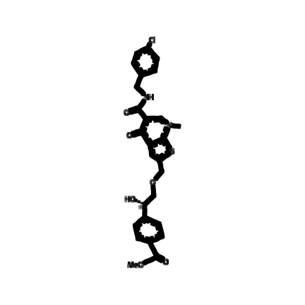 COC(=O)c1ccc([C@H](O)COCc2cc3c(=O)c(C(=O)NCc4ccc(Cl)cc4)cn(C)c3s2)cc1